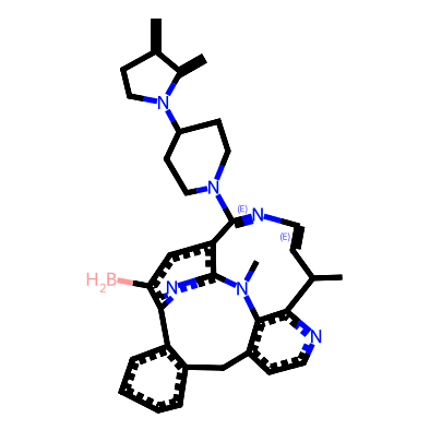 Bc1cc2c3nc1-c1ccccc1Cc1ccnc(c1N3C)C(C)/C=C/N=C\2N1CCC(N2CCC(=C)C2=C)CC1